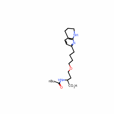 CCCCC(=O)NC(CCOCCCCc1ccc2c(n1)NCCC2)C(=O)O